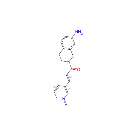 C=N/C=C(\C=C/C)/C=C/C(=O)N1CCc2ccc(N)cc2C1